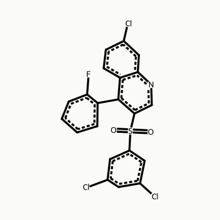 O=S(=O)(c1cc(Cl)cc(Cl)c1)c1cnc2cc(Cl)ccc2c1-c1ccccc1F